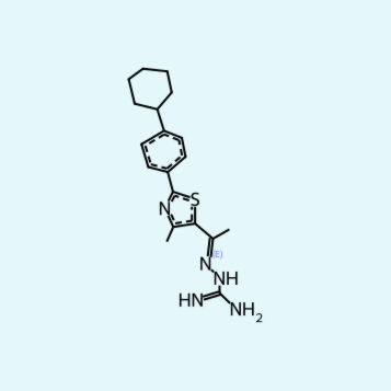 C/C(=N\NC(=N)N)c1sc(-c2ccc(C3CCCCC3)cc2)nc1C